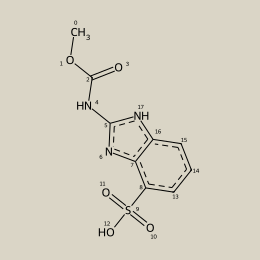 COC(=O)Nc1nc2c(S(=O)(=O)O)cccc2[nH]1